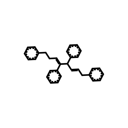 C(=CC(C(=CCCc1ccccc1)c1ccccc1)c1ccccc1)Cc1ccccc1